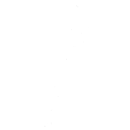 Nc1ccc(OC(=O)CCCCCCCCCCC(=O)O)cc1